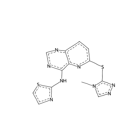 Cn1cnnc1Sc1ccc2ncnc(Nc3nccs3)c2n1